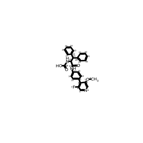 COc1cncc(F)c1-c1ccc(NC(=O)C(NC(=O)O)C(c2ccccc2)c2ccccc2)cc1